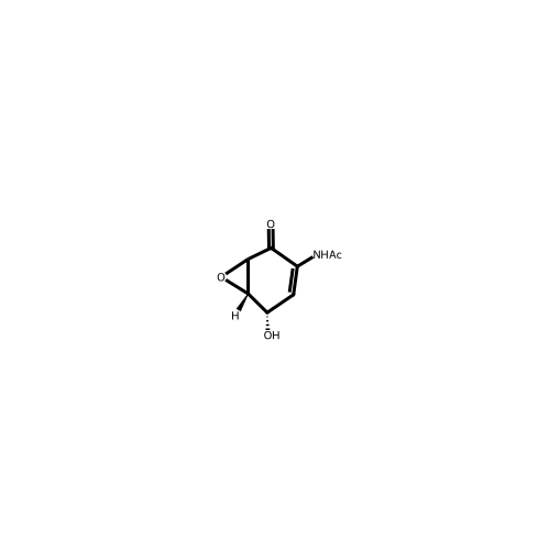 CC(=O)NC1=C[C@H](O)[C@@H]2OC2C1=O